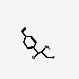 C=CC1C=CC(C(CC)C(N)CF)=CC1